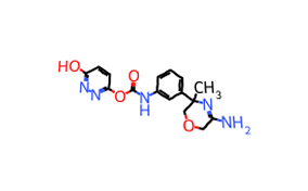 CC1(c2cccc(NC(=O)Oc3ccc(O)nn3)c2)COCC(N)=N1